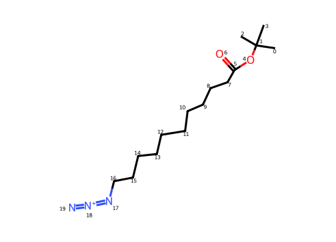 CC(C)(C)OC(=O)CCCCCCCCCCN=[N+]=[N-]